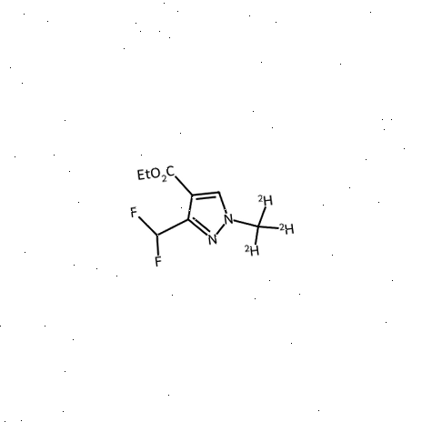 [2H]C([2H])([2H])n1cc(C(=O)OCC)c(C(F)F)n1